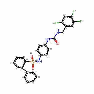 O=C(NCc1cc(F)c(F)cc1F)Nc1ccc(NS(=O)(=O)c2ccccc2-c2ccccc2)cc1